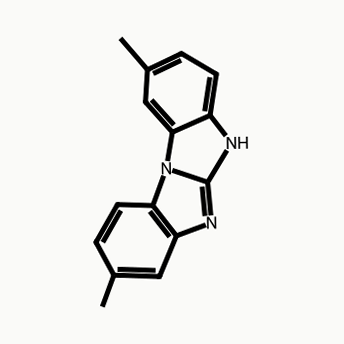 Cc1ccc2c(c1)nc1[nH]c3ccc(C)cc3n12